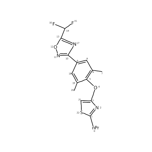 CCCc1nc(Oc2c(C)cc(-c3noc(C(F)F)n3)cc2C)cs1